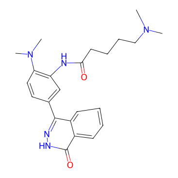 CN(C)CCCCC(=O)Nc1cc(-c2n[nH]c(=O)c3ccccc23)ccc1N(C)C